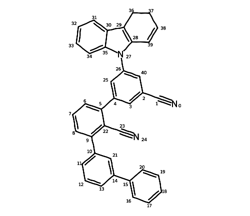 N#Cc1cc(-c2cccc(-c3cccc(-c4ccccc4)c3)c2C#N)cc(-n2c3c(c4ccccc42)CCC=C3)c1